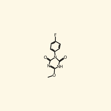 COc1nc(=O)n(-c2ccc(F)cc2)c(=O)[nH]1